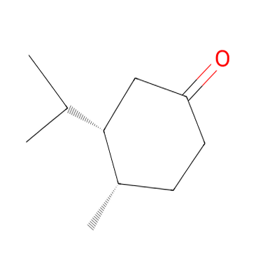 CC(C)[C@@H]1CC(=O)CC[C@@H]1C